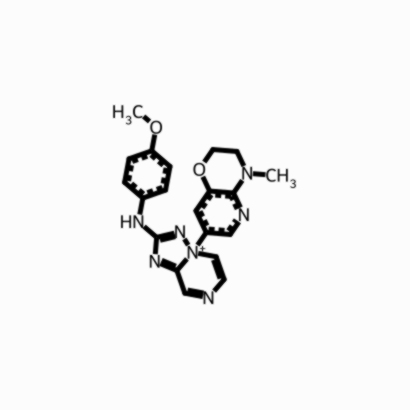 COc1ccc(NC2=N[N+]3(c4cnc5c(c4)OCCN5C)C=CN=CC3=N2)cc1